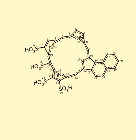 O=S(=O)(O)C1=Cc2cc3ccc(cc4nc(cc5[nH]c(c(S(=O)(=O)O)c1n2)c(S(=O)(=O)O)c5S(=O)(=O)O)-c1ccc2ccccc2c1-4)[nH]3